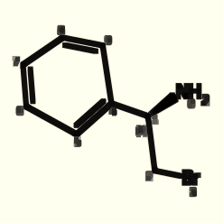 N[C@@H](CBr)c1ccccc1